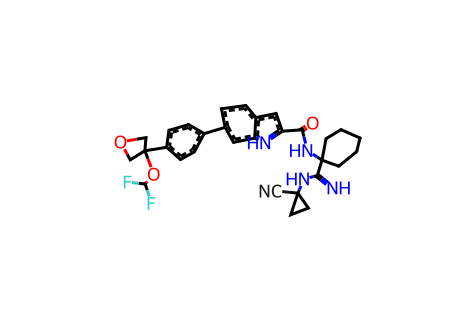 N#CC1(NC(=N)C2(NC(=O)c3cc4ccc(-c5ccc(C6(OC(F)F)COC6)cc5)cc4[nH]3)CCCCC2)CC1